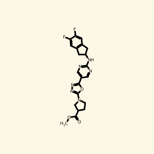 COC(=O)C1CCN(c2nnc(-c3cnc(NC4Cc5cc(F)c(F)cc5C4)nc3)o2)C1